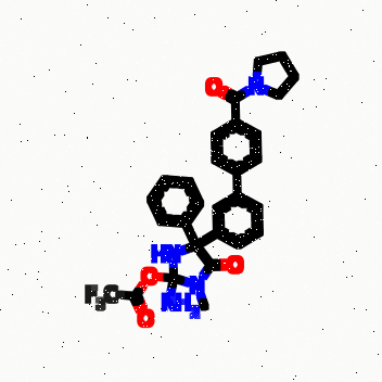 CN1C(=O)C(c2ccccc2)(c2cccc(-c3ccc(C(=O)N4CCCC4)cc3)c2)NC1(N)OC(=O)C(F)(F)F